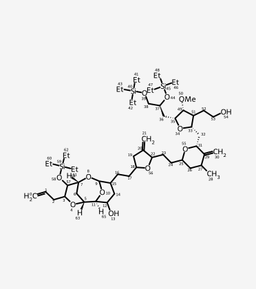 C=CCC1O[C@@H]2C[C@@H](OC3O[C@H]2C(O)CC3CCC2CC(=C)C(CCC3CC(C)C(=C)[C@@H](C[C@@H]4O[C@H](C[C@@H](CO[Si](CC)(CC)CC)O[Si](CC)(CC)CC)[C@H](OC)C4CCO)O3)O2)C1O[Si](CC)(CC)CC